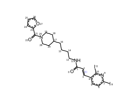 O=C(/C=C/c1ccc(I)nc1I)NCCCCC1CCN(C(=O)c2ccco2)CC1